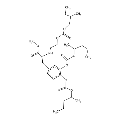 CCCC(C)OC(=O)Oc1ccc(C[C@H](NCCOC(=O)OCC(C)CC)C(=O)OC)cc1OC(=O)OC(C)CCC